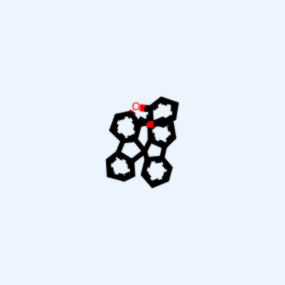 Cc1cccc2c1C1(c3ccccc3-2)c2ccccc2-c2ccc3oc4ccccc4c3c21